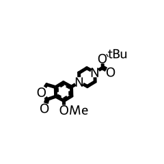 COc1cc(N2CCN(C(=O)OC(C)(C)C)CC2)cc2c1C(=O)OC2